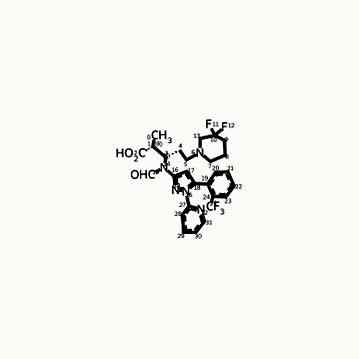 C[C@@H](C(=O)O)[C@H](CCN1CCCC(F)(F)C1)N(C=O)c1cc(-c2ccccc2C(F)(F)F)n(-c2ccccn2)n1